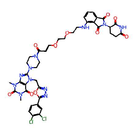 Cn1c(=O)c2c(nc(N3CCN(C(=O)CCOCCOCCNc4cccc5c4C(=O)N(C4CCC(=O)NC4=O)C5=O)CC3)n2Cc2nnc(-c3ccc(Cl)c(Cl)c3)o2)n(C)c1=O